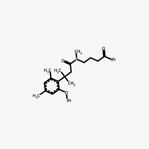 Cc1cc(C)c(C(C)(C)CC(=O)N(C)CCCC(=O)C(C)C)c(OC(C)C)c1